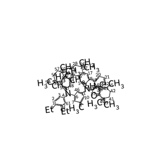 CCc1ccc(N(c2cc(C)cc(N(C3=CC4C(C=C3c3ccccc3)C(C)(C)CCC4(C)C)c3cc4c(o3)C(C)(C)CCC4(C)C)c2)c2ccc3c(c2)C(C)(C)CCC3(C)C)cc1CC